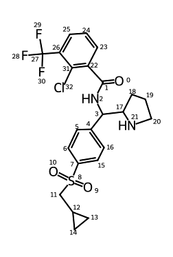 O=C(NC(c1ccc(S(=O)(=O)CC2CC2)cc1)C1CCCN1)c1cccc(C(F)(F)F)c1Cl